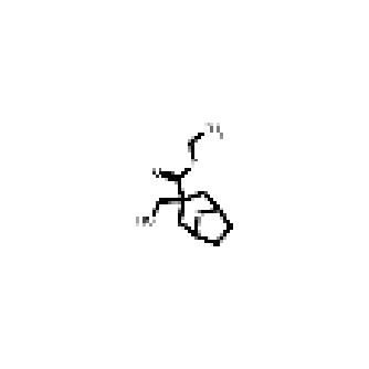 CCOC(=O)C1(CO)CC2CCC(C1)O2